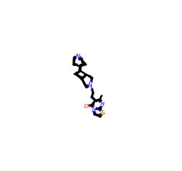 Cc1nc2sccn2c(=O)c1CCN1CC2CC(c3ccncc3)C2C1